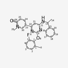 Cc1cccc(F)c1Oc1nc(NC(C)c2ccccc2)cc(-c2ccc(=O)n(C)c2)n1